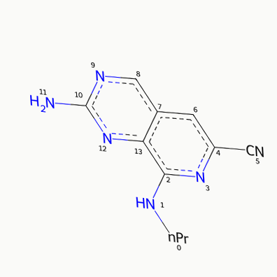 CCCNc1nc(C#N)cc2cnc(N)nc12